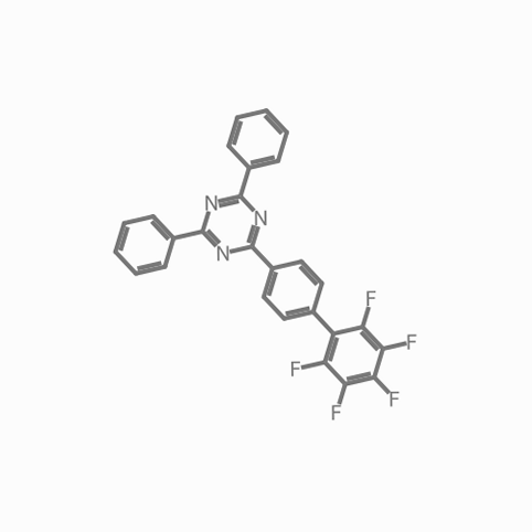 Fc1c(F)c(F)c(-c2ccc(-c3nc(-c4ccccc4)nc(-c4ccccc4)n3)cc2)c(F)c1F